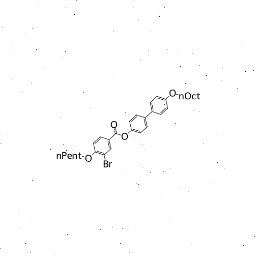 CCCCCCCCOc1ccc(-c2ccc(OC(=O)c3ccc(OCCCCC)c(Br)c3)cc2)cc1